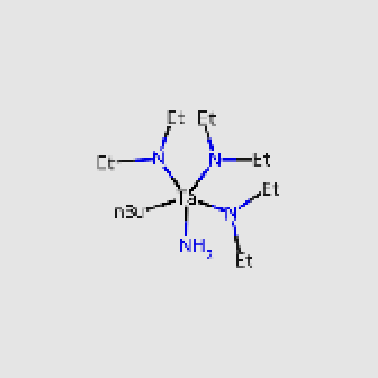 CCC[CH2][Ta]([NH2])([N](CC)CC)([N](CC)CC)[N](CC)CC